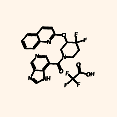 O=C(O)C(F)(F)F.O=C(c1cncc2nc[nH]c12)N1CCC(F)(F)C(Oc2ccc3ccccc3n2)C1